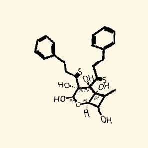 CC1C(O)[C@H]2O[C@@H](O)[C@@](O)(C(=S)CCc3ccccc3)[C@](O)(C(=S)CCc3ccccc3)[C@@]12O